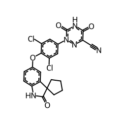 N#Cc1nn(-c2cc(Cl)c(Oc3ccc4c(c3)C3(CCCC3)C(=O)N4)c(Cl)c2)c(=O)[nH]c1=O